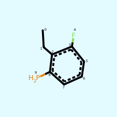 CCc1c(F)cccc1P